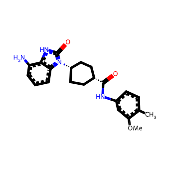 COc1cc(NC(=O)[C@H]2CC[C@@H](n3c(=O)[nH]c4c(N)cccc43)CC2)ccc1C